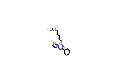 O=C(O)CCCCCO/N=C(\Cn1ccnc1)C1CCCCC1